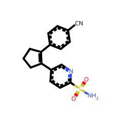 N#Cc1ccc(C2=C(c3ccc(S(N)(=O)=O)nc3)CCC2)cc1